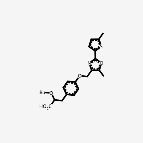 CCC(C)OC(Cc1ccc(OCc2nc(-c3ccc(C)s3)oc2C)cc1)C(=O)O